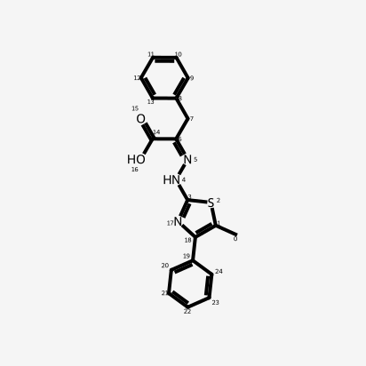 Cc1sc(N/N=C(/Cc2ccccc2)C(=O)O)nc1-c1ccccc1